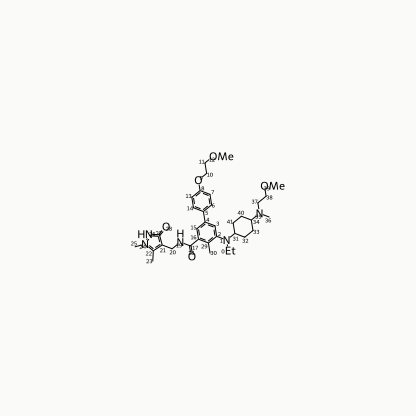 CCN(c1cc(-c2ccc(OCCOC)cc2)cc(C(=O)NCc2c(C)n(C)[nH]c2=O)c1C)C1CCC(N(C)CCOC)CC1